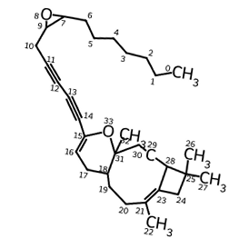 CCCCCCCC1OC1CC#CC#CC1=CCC2CC/C(C)=C3/CC(C)(C)C3CCC2(C)O1